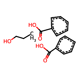 CCCO.O=C(O)c1ccccc1.O=C(O)c1ccccc1